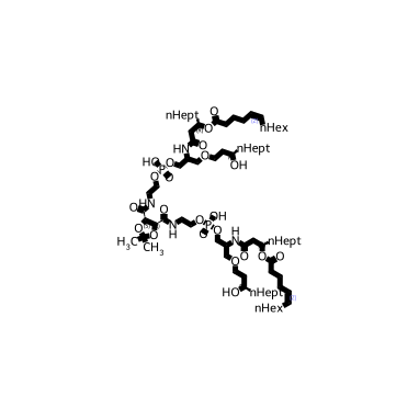 CCCCCC/C=C\CCCC(=O)O[C@H](CCCCCCC)CC(=O)NC(COCC[C@H](O)CCCCCCC)COP(=O)(O)OCCNC(=O)[C@H]1OC(C)(C)O[C@H]1C(=O)NCCOP(=O)(O)OCC(COCC[C@H](O)CCCCCCC)NC(=O)C[C@@H](CCCCCCC)OC(=O)CCC/C=C\CCCCCC